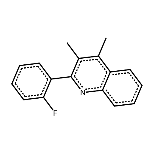 Cc1c(-c2ccccc2F)nc2ccccc2c1C